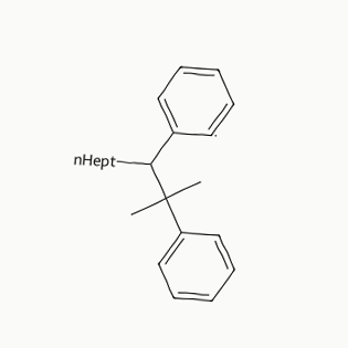 CCCCCCCC(c1[c]cccc1)C(C)(C)c1ccccc1